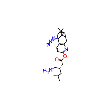 C/C=C1\C2C=C(C)CC1(N=[N+]=[N-])c1ccc(OC(=O)C[C@@H](CN)CC(C)C)nc1C2